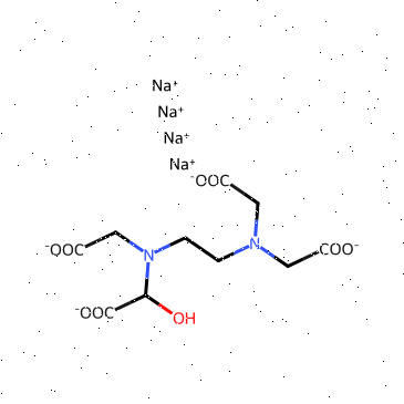 O=C([O-])CN(CCN(CC(=O)[O-])C(O)C(=O)[O-])CC(=O)[O-].[Na+].[Na+].[Na+].[Na+]